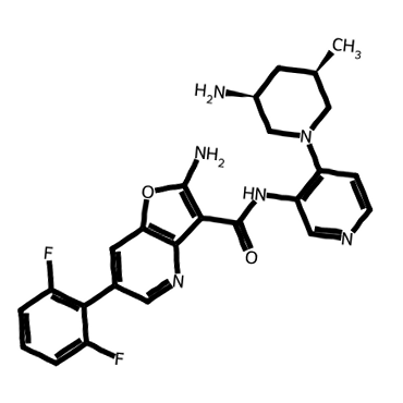 C[C@@H]1C[C@H](N)CN(c2ccncc2NC(=O)c2c(N)oc3cc(-c4c(F)cccc4F)cnc23)C1